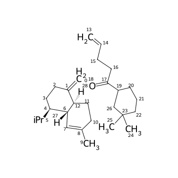 C=C1CC[C@H](C(C)C)[C@H]2C=C(C)CC[C@H]12.C=CCCC(=O)C1CCCC(C)(C)C1